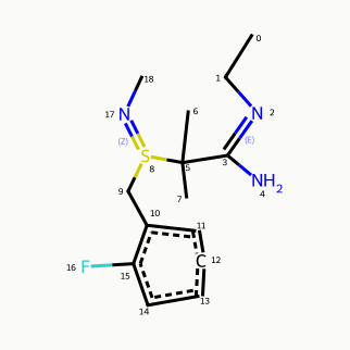 CC/N=C(/N)C(C)(C)/S(Cc1ccccc1F)=N\C